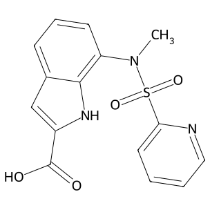 CN(c1cccc2cc(C(=O)O)[nH]c12)S(=O)(=O)c1ccccn1